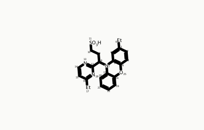 CCc1ccc2c(c1)N(C(CCS(=O)(=O)O)c1nccc(CC)n1)c1ccccc1O2